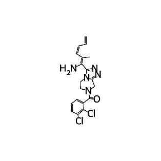 C=C/C=C\C(C)=C(/N)c1nnc2n1CCN(C(=O)c1cccc(Cl)c1Cl)C2